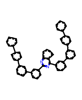 c1ccc(-c2ccc(-c3cccc(-c4cccc(-c5nc(-c6cccc(-c7cccc(-c8ccc(-c9ccccc9)cc8)c7)c6)c6ccccc6n5)c4)c3)cc2)cc1